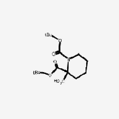 CC(C)(C)OC(=O)N1CCCCC1(C(=O)O)C(=O)OC(C)(C)C